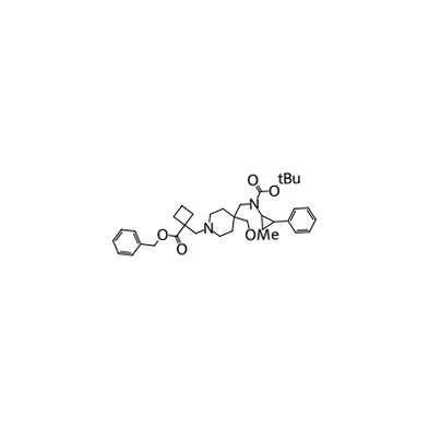 COCC1(CN(C(=O)OC(C)(C)C)C2CC2c2ccccc2)CCN(CC2(C(=O)OCc3ccccc3)CCC2)CC1